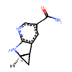 NC(=O)c1cnc2c(c1)C1C[C@H]1N2